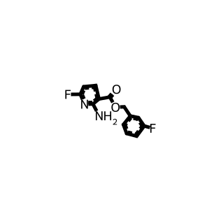 Nc1nc(F)ccc1C(=O)OCc1cccc(F)c1